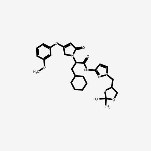 COc1cccc(OC2=CC(=O)N(C(CC3CCCCC3)C(=O)Nc3ccn(CC4COC(C)(C)O4)n3)C2)c1